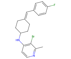 Cc1nccc(NC2CCC(=Cc3ccc(F)cc3)CC2)c1Br